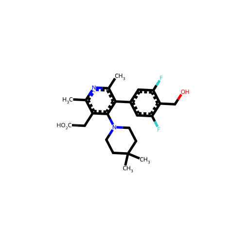 Cc1nc(C)c(-c2cc(F)c(CO)c(F)c2)c(N2CCC(C)(C)CC2)c1CC(=O)O